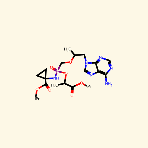 CC(C)OC(=O)C(C)OP(=O)(COC(C)Cn1cnc2c(N)ncnc21)NC1(C(=O)OC(C)C)CC1